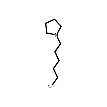 ClCCCCCN1CCCC1